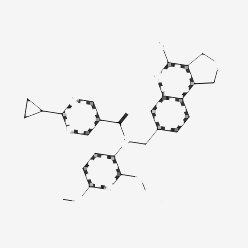 COc1ccc(N(Cc2ccc3c4c(c(N)nc3c2)COC4)C(=O)c2cnc(C3CC3)nc2)c(OC)n1